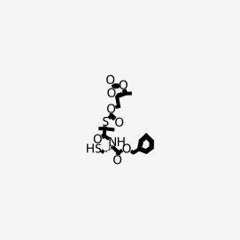 Cc1oc(=O)oc1COC(=O)SC(C)(C)C(=O)N[C@@H](CS)C(=O)OCc1ccccc1